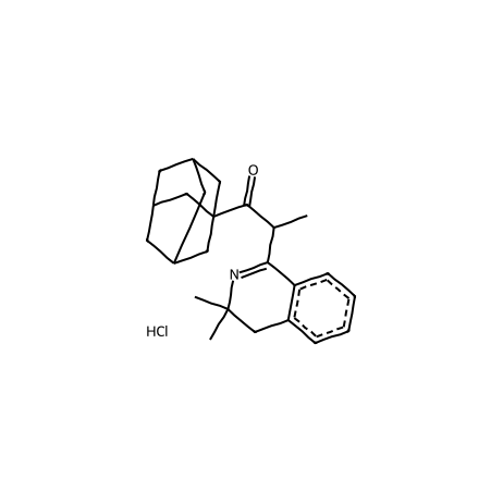 CC(C(=O)C12CC3CC(CC(C3)C1)C2)C1=NC(C)(C)Cc2ccccc21.Cl